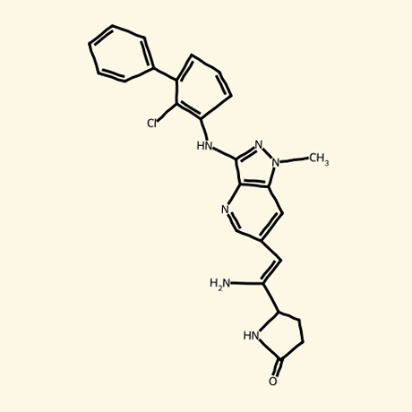 Cn1nc(Nc2cccc(-c3ccccc3)c2Cl)c2ncc(C=C(N)C3CCC(=O)N3)cc21